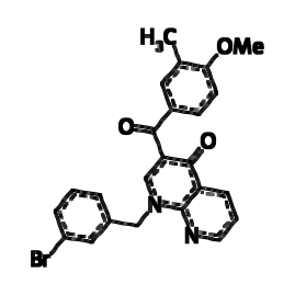 COc1ccc(C(=O)c2cn(Cc3cccc(Br)c3)c3ncccc3c2=O)cc1C